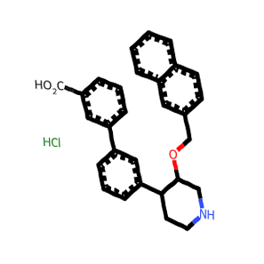 Cl.O=C(O)c1cccc(-c2cccc(C3CCNCC3OCc3ccc4ccccc4c3)c2)c1